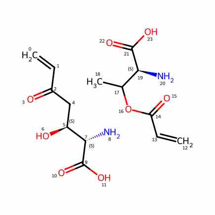 C=CC(=O)C[C@H](O)[C@H](N)C(=O)O.C=CC(=O)OC(C)[C@H](N)C(=O)O